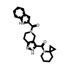 O=C(c1cc2ccccc2[nH]1)N1CCc2n[nH]c(C(=O)N3CCCCC34CC4)c2C1